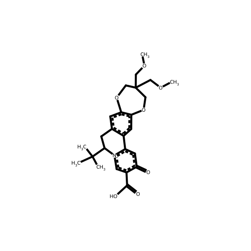 COCC1(COC)COc2cc3c(cc2OC1)-c1cc(=O)c(C(=O)O)cn1C(C(C)(C)C)C3